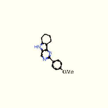 COc1ccc(-c2ncc3[nH]c4c(c3n2)CCCC4)cc1